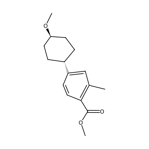 COC(=O)c1ccc([C@H]2CC[C@H](OC)CC2)cc1C